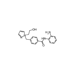 Nc1ccccc1NC(=O)c1ccc(C[N+]2(CCO)C=CC=N2)cc1